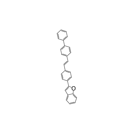 C(=Cc1ccc(-c2cc3ccccc3o2)cc1)c1ccc(-c2ccccc2)cc1